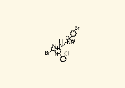 O=S(=O)(NCCNc1cc(-c2ccccc2Cl)nc2c(Br)cnn12)c1ccc(Br)cc1